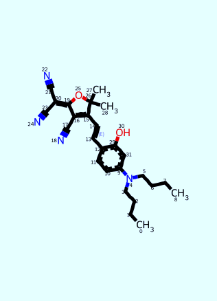 CCCCN(CCCC)c1ccc(/C=C/C2=C(C#N)C(=C(C#N)C#N)OC2(C)C)c(O)c1